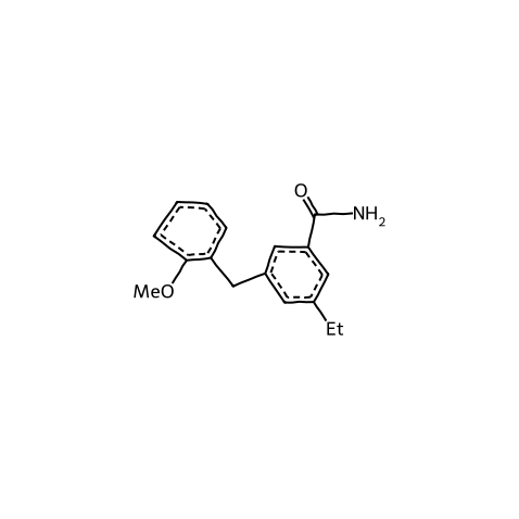 CCc1cc(Cc2ccccc2OC)cc(C(N)=O)c1